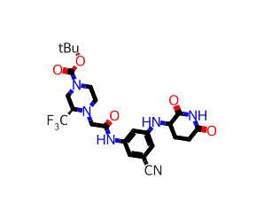 CC(C)(C)OC(=O)N1CCN(CC(=O)Nc2cc(C#N)cc(NC3CCC(=O)NC3=O)c2)[C@@H](C(F)(F)F)C1